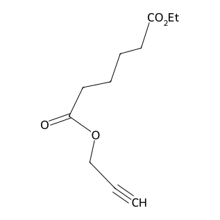 C#CCOC(=O)CCCCC(=O)OCC